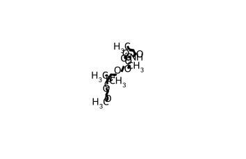 CC1=CC(=O)NS(=O)(=O)O1.COCCOCC[N+](C)(C)CCOCCOC